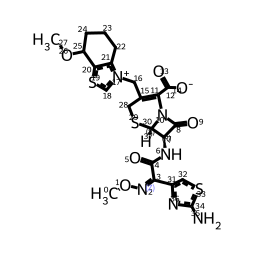 CO/N=C(\C(=O)N[C@@H]1C(=O)N2C(C(=O)[O-])=C(C[n+]3csc4c3CCCC4OC)CS[C@@H]12)c1csc(N)n1